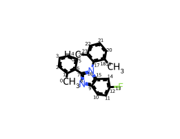 Cc1ccccc1-c1nc2ccc(F)cc2n1-c1c(C)cccc1C